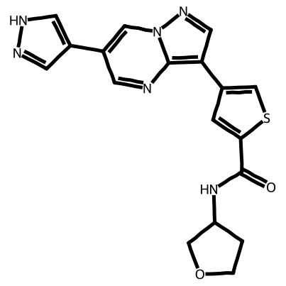 O=C(NC1CCOC1)c1cc(-c2cnn3cc(-c4cn[nH]c4)cnc23)cs1